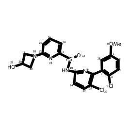 COc1ccc(Cl)c(-c2nc(N[S+]([O-])c3cccc(N4CC(O)C4)n3)ccc2Cl)c1